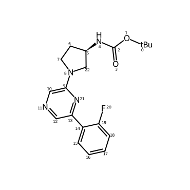 CC(C)(C)OC(=O)N[C@@H]1CCN(c2cncc(-c3ccccc3F)n2)C1